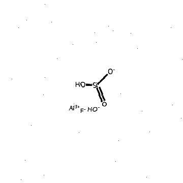 O=[Si]([O-])O.[Al+3].[F-].[OH-]